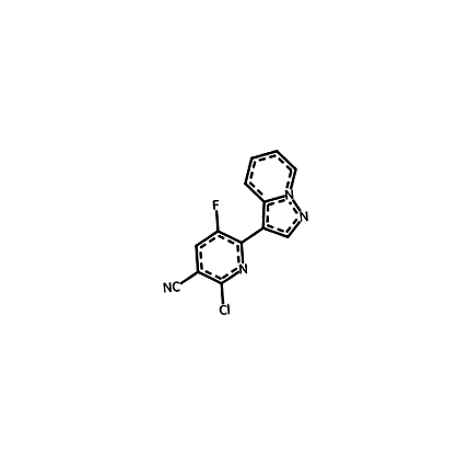 N#Cc1cc(F)c(-c2cnn3ccccc23)nc1Cl